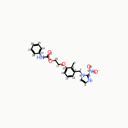 Cc1c(Cn2ccnc2[N+](=O)[O-])cccc1OCCOC(=O)Nc1ccccc1